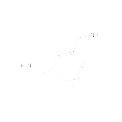 NCc1cccc(CN)c1.O